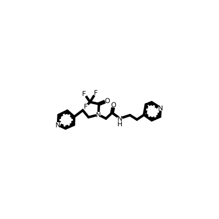 O=C(CN(CCc1ccncc1)C(=O)C(F)(F)F)NCCc1ccncc1